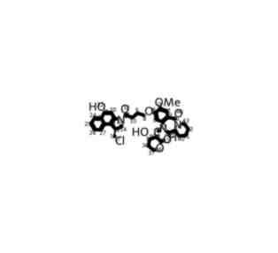 COc1cc2c(cc1OCCCC(=O)N1C[C@@H](CCl)c3c1cc(O)c1ccccc31)N(C(=O)O)[C@@H](OC1CCCCO1)[C@@H]1CCCCN1C2=O